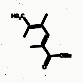 COC(=O)C(C)=CC(C)=C(C)C(=O)O